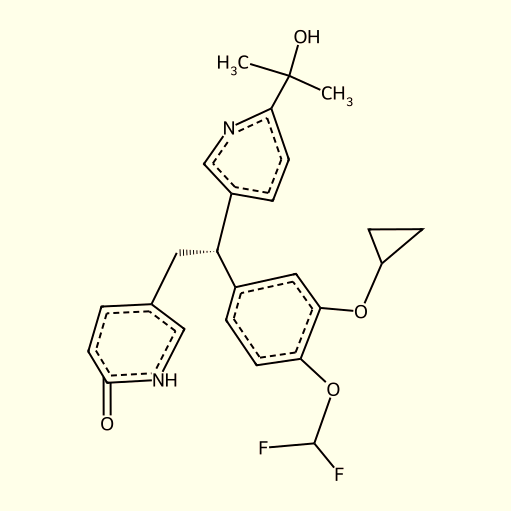 CC(C)(O)c1ccc([C@@H](Cc2ccc(=O)[nH]c2)c2ccc(OC(F)F)c(OC3CC3)c2)cn1